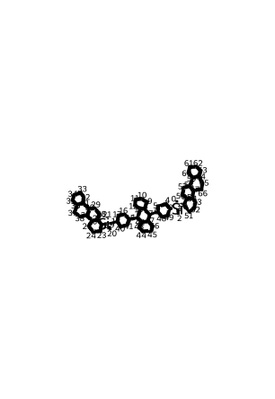 C[Si](C)(c1ccc(-c2c3ccccc3c(-c3ccc([Si](C)(C)c4cccc5c4ccc4c6ccccc6ccc54)cc3)c3ccccc23)cc1)c1cccc2c1ccc1c3ccccc3ccc21